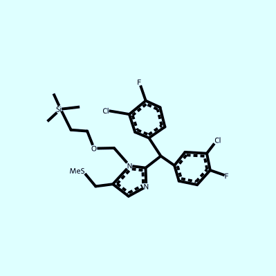 CSCc1cnc(C(c2ccc(F)c(Cl)c2)c2ccc(F)c(Cl)c2)n1COCC[Si](C)(C)C